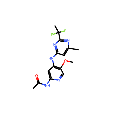 COc1cnc(NC(C)=O)cc1Nc1cc(C)nc(C(C)(F)F)n1